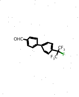 O=Cc1ccc(-c2ccc(C(F)(C(F)(F)F)C(F)(F)F)cc2)cc1